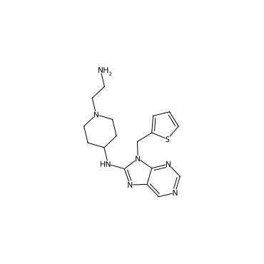 NCCN1CCC(Nc2nc3cncnc3n2Cc2cccs2)CC1